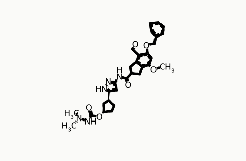 COc1cc(OCc2ccccc2)c(C=O)c2c1CC(C(=O)Nc1cc([C@H]3CC[C@@H](OC(=O)NN(C)C)C3)[nH]n1)C2